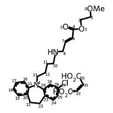 COCCOC(=O)/C=C/CNCCCCN1c2ccccc2CCc2ccc(Cl)cc21.O=C(O)/C=C\C(=O)O